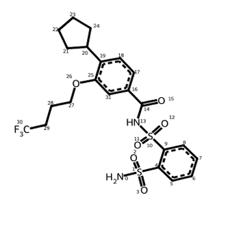 NS(=O)(=O)c1ccccc1S(=O)(=O)NC(=O)c1ccc(C2CCCC2)c(OCCCC(F)(F)F)c1